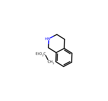 CCOC(C)=O.c1ccc2c(c1)CCNC2